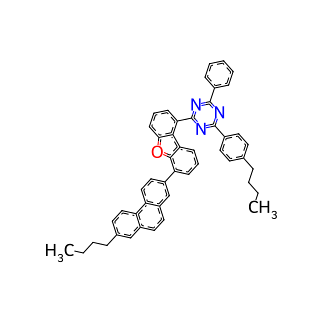 CCCCc1ccc(-c2nc(-c3ccccc3)nc(-c3cccc4oc5c(-c6ccc7c(ccc8cc(CCCC)ccc87)c6)cccc5c34)n2)cc1